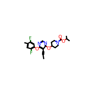 CC#Cc1c(Oc2cc(F)c(C)cc2F)ncnc1OC1CCN(C(=O)OC(C)C)CC1